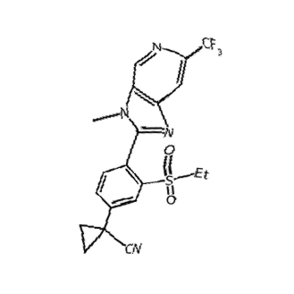 CCS(=O)(=O)c1cc(C2(C#N)CC2)ccc1-c1nc2cc(C(F)(F)F)ncc2n1C